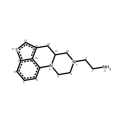 NCCN1CCN2c3cccc4scc(c34)CC2C1